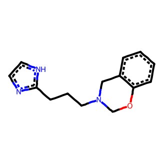 c1ccc2c(c1)CN(CCCc1ncc[nH]1)CO2